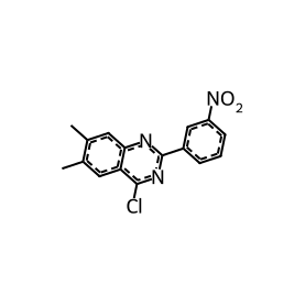 Cc1cc2nc(-c3cccc([N+](=O)[O-])c3)nc(Cl)c2cc1C